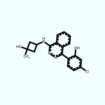 CC1(O)CC(Nc2nnc(-c3ccc(Cl)cc3O)c3ccccc23)C1